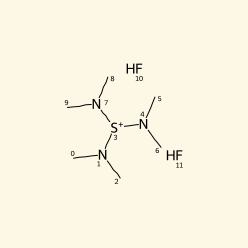 CN(C)[S+](N(C)C)N(C)C.F.F